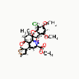 COC(=O)c1cc(-c2ccsc2)c2c(n1)C1(Oc3c(Cl)c(OC)cc(OC)c3C1=O)C(C)CC2=O